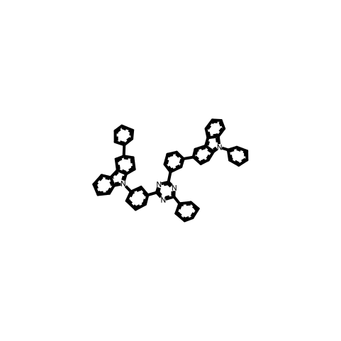 c1ccc(-c2ccc3c(c2)c2ccccc2n3-c2cccc(-c3nc(-c4ccccc4)nc(-c4cccc(-c5ccc6c(c5)c5ccccc5n6-c5ccccc5)c4)n3)c2)cc1